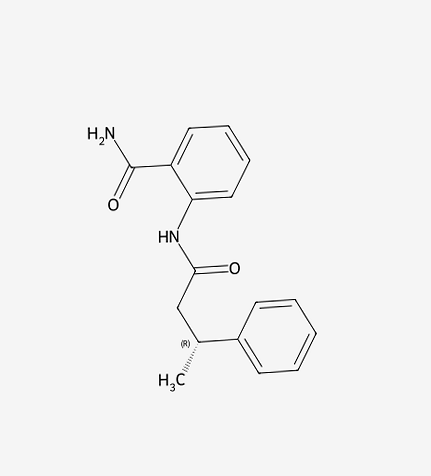 C[C@H](CC(=O)Nc1ccccc1C(N)=O)c1ccccc1